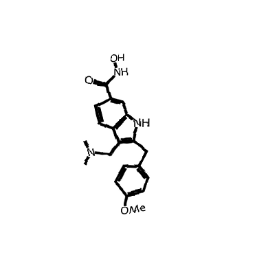 COc1ccc(Cc2[nH]c3cc(C(=O)NO)ccc3c2CN(C)C)cc1